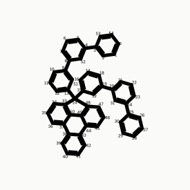 c1ccc(-c2cccc(-c3cccc(C4(c5cccc(-c6cccc(-c7ccccc7)c6)c5)c5cccc6c7ccccc7c7cccc4c7c56)c3)c2)cc1